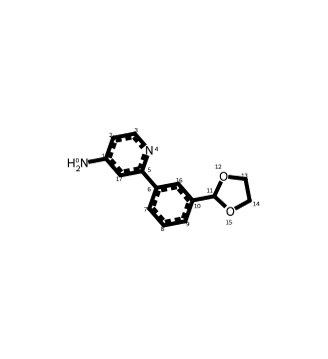 Nc1ccnc(-c2cccc(C3OCCO3)c2)c1